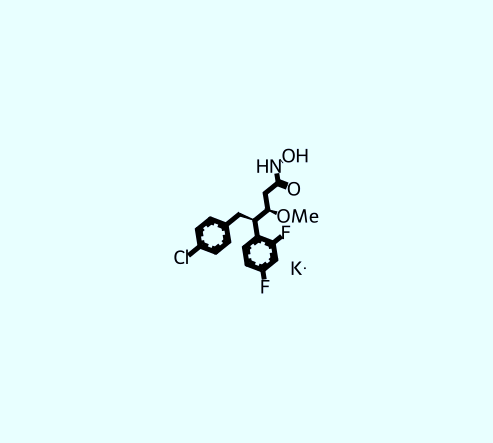 CO[C@H](CC(=O)NO)[C@H](Cc1ccc(Cl)cc1)c1ccc(F)cc1F.[K]